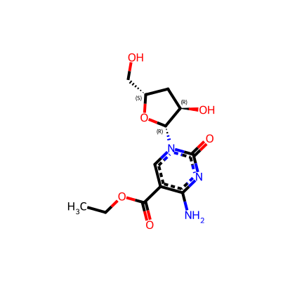 CCOC(=O)c1cn([C@@H]2O[C@H](CO)C[C@H]2O)c(=O)nc1N